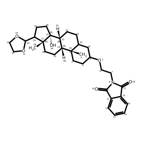 C[C@]12CCC(OCCN3C(=O)c4ccccc4C3=O)CC1CC[C@@H]1[C@H]2CC[C@]2(C)C(C3OCCO3)CC[C@@]12O